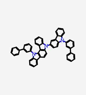 c1ccc(-c2cccc(-n3c4ccccc4c4cc(-n5c6ccccc6c6c5ccc5c7ccccc7n(-c7cccc(-c8ccccc8)c7)c56)ccc43)c2)cc1